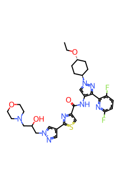 CCO[C@H]1CC[C@H](n2cc(NC(=O)c3csc(-c4cnn(CC(O)CN5CCOCC5)c4)n3)c(-c3nc(F)ccc3F)n2)CC1